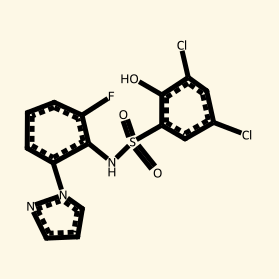 O=S(=O)(Nc1c(F)cccc1-n1cccn1)c1cc(Cl)cc(Cl)c1O